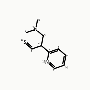 CN(C)CC([C]=S)c1ccccn1